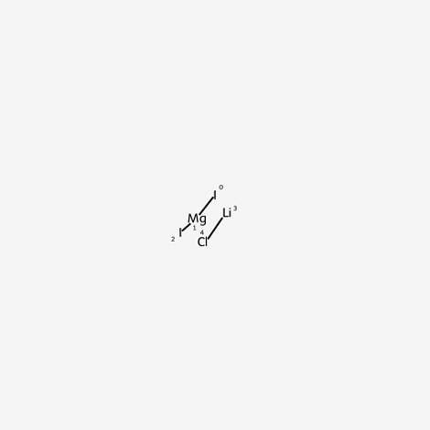 [I][Mg][I].[Li][Cl]